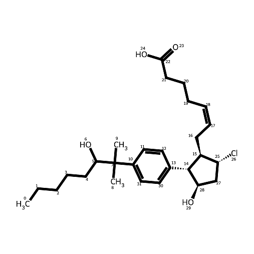 CCCCCC(O)C(C)(C)c1ccc([C@@H]2[C@@H](C/C=C\CCCC(=O)O)[C@H](Cl)C[C@H]2O)cc1